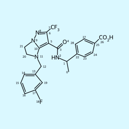 CC(NC(=O)c1c(C(F)(F)F)nn2c1N(Cc1cccc(F)c1)CC2)c1ccc(C(=O)O)cc1